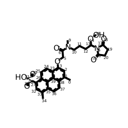 Cc1cc(OCC(=O)N(C)CCCC(OO)N2C(=O)CCC2=O)c2ccc3c(S(=O)(=O)O)cc(C)c4ccc1c2c43